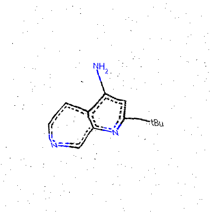 CC(C)(C)c1cc(N)c2ccncc2n1